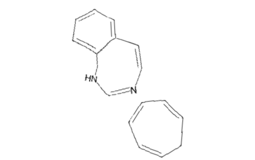 C1=CC=CCC=C1.C1=Cc2ccccc2NC=N1